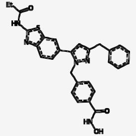 CCC(=O)Nc1nc2ccc(-c3cc(Cc4ccccc4)nn3Cc3ccc(C(=O)NO)cc3)cc2s1